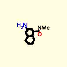 CNC(=O)c1cc(N)cc2ccccc12